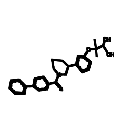 CC(C)(Oc1cccc(C2CCCN(C(=O)c3ccc(-c4ccccc4)cc3)C2)c1)C(O)O